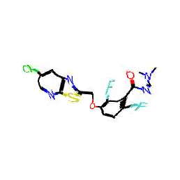 CN(C)/C=N\C(=O)c1c(F)ccc(OCc2nc3cc(Cl)cnc3s2)c1F